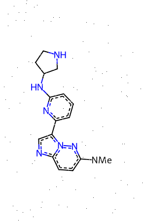 CNc1ccc2ncc(-c3cccc(NC4CCNC4)n3)n2n1